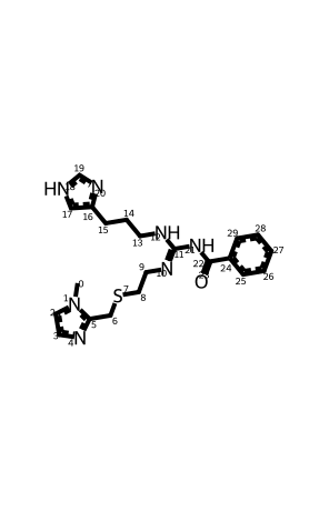 Cn1ccnc1CSCCN=C(NCCCc1c[nH]cn1)NC(=O)c1ccccc1